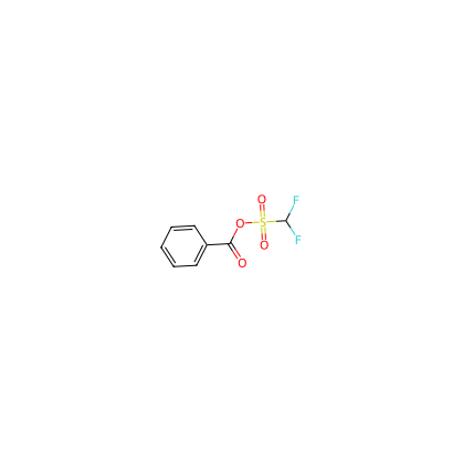 O=C(OS(=O)(=O)C(F)F)c1ccccc1